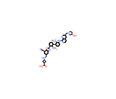 Cc1c(Nc2nccc3cc(CN4CC[C@@H](O)C4)cnc23)cccc1-c1cccc(-c2nc3cc(CNC4CC(C(=O)O)C4)cc(C#N)c3o2)c1C